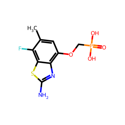 Cc1cc(OCP(=O)(O)O)c2nc(N)sc2c1F